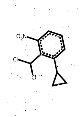 O=[N+]([O-])c1cccc(C2CC2)c1C(Cl)Cl